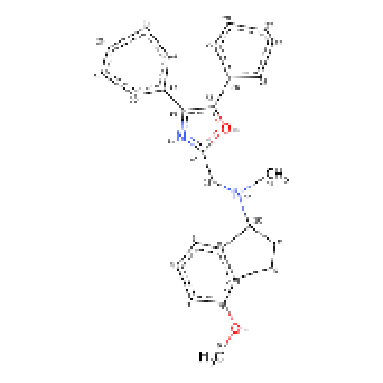 COc1cccc2c1CCC2N(C)Cc1nc(-c2ccccc2)c(-c2ccccc2)o1